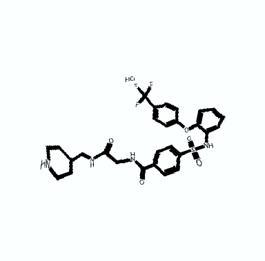 Cl.O=C(CNC(=O)c1ccc(S(=O)(=O)Nc2ccccc2Oc2ccc(C(F)(F)F)cc2)cc1)NCC1CCNCC1